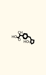 CC(C(=O)O)c1ccc(CC2CCC[C@@H]2O)cc1